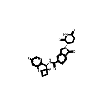 O=C1CC[C@H](N2Cc3cc(C(=O)N[C@H](c4ncc(F)cc4Cl)C4(F)CCC4)ccc3C2=O)C(=O)N1